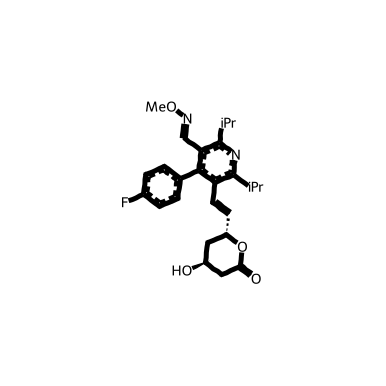 CON=Cc1c(C(C)C)nc(C(C)C)c(C=C[C@H]2C[C@H](O)CC(=O)O2)c1-c1ccc(F)cc1